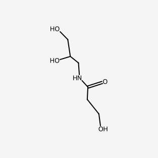 O=C(CCO)NCC(O)CO